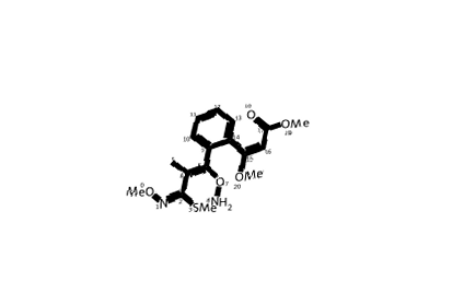 CO/N=C(SC)\C(C)=C(/ON)c1ccccc1/C(=C\C(=O)OC)OC